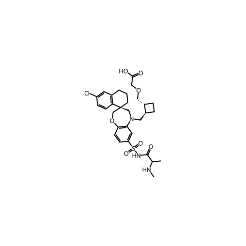 CNC(C)C(=O)NS(=O)(=O)c1ccc2c(c1)N(C[C@@H]1CC[C@H]1COCC(=O)O)C[C@@]1(CCCc3cc(Cl)ccc31)CO2